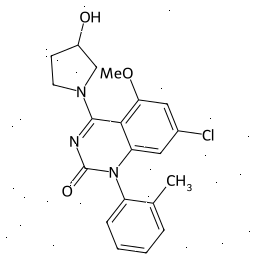 COc1cc(Cl)cc2c1c(N1CCC(O)C1)nc(=O)n2-c1ccccc1C